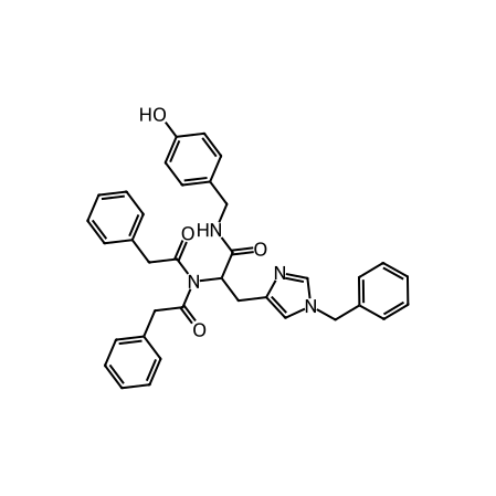 O=C(NCc1ccc(O)cc1)C(Cc1cn(Cc2ccccc2)cn1)N(C(=O)Cc1ccccc1)C(=O)Cc1ccccc1